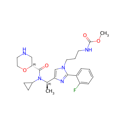 COC(=O)NCCCn1cc([C@@H](C)N(C(=O)[C@H]2CNCCO2)C2CC2)nc1-c1ccccc1F